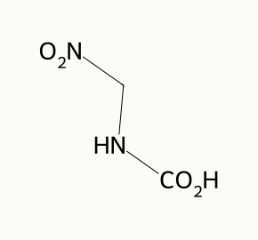 O=C(O)NC[N+](=O)[O-]